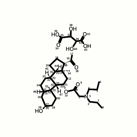 CCCN(CCC)CC(=O)O[C@H]1C[C@]2(C)[C@@H](C(C)=O)CC[C@H]2[C@@H]2CC[C@H]3C[C@H](O)CC[C@]3(C)[C@H]21.O=C(O)C(O)C(O)C(=O)O